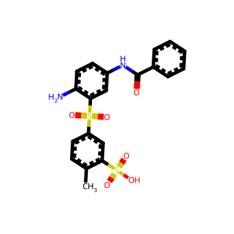 Cc1ccc(S(=O)(=O)c2cc(NC(=O)c3ccccc3)ccc2N)cc1S(=O)(=O)O